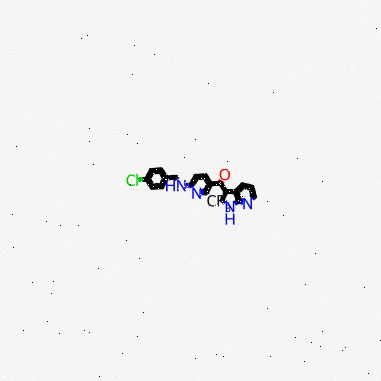 O=C(c1ccc(NCc2ccc(Cl)cc2)nc1C(F)(F)F)C1CNc2ncccc21